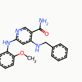 COc1ccccc1Nc1cc(NCc2ccccc2)c(C(N)=O)cn1